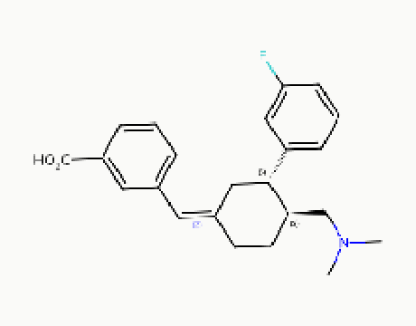 CN(C)C[C@H]1CC/C(=C/c2cccc(C(=O)O)c2)C[C@@H]1c1cccc(F)c1